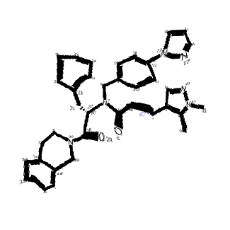 Cc1c(/C=C/C(=O)N(Cc2ccc(-n3cccn3)cc2)[C@@H](Cc2ccccc2)C(=O)N2CCc3ccccc3C2)cnn1C